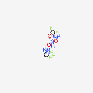 O=C1Nc2c(F)cc(F)cc2OC[C@@H]1NCOCc1nc2cccc(C(F)(F)F)n2n1